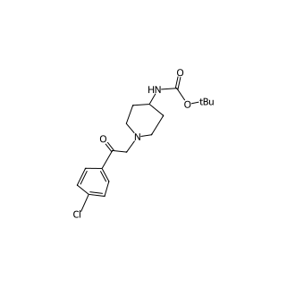 CC(C)(C)OC(=O)NC1CCN(CC(=O)c2ccc(Cl)cc2)CC1